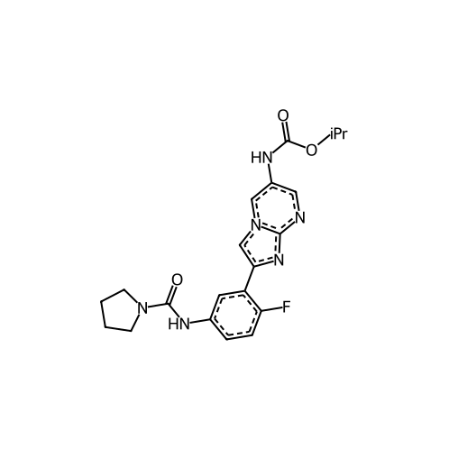 CC(C)OC(=O)Nc1cnc2nc(-c3cc(NC(=O)N4CCCC4)ccc3F)cn2c1